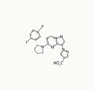 O=C(O)c1cnn(-c2cnn3ccc(N4CCC[C@@H]4c4cc(F)ccc4F)nc23)c1